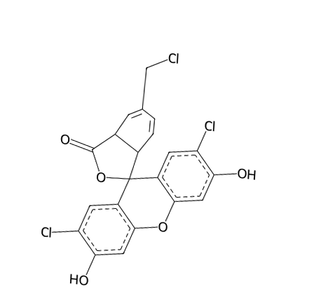 O=C1OC2(c3cc(Cl)c(O)cc3Oc3cc(O)c(Cl)cc32)C2C=CC(CCl)=CC12